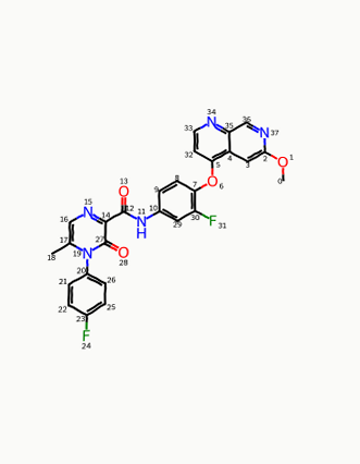 COc1cc2c(Oc3ccc(NC(=O)c4ncc(C)n(-c5ccc(F)cc5)c4=O)cc3F)ccnc2cn1